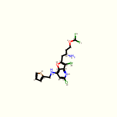 N[C@@H](CCOC(F)F)Cc1oc2c(NCc3cccs3)cc(Cl)nc2c1Br